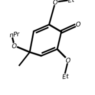 CCCOC1(C)C=C(OCC)C(=O)C(OCC)=C1